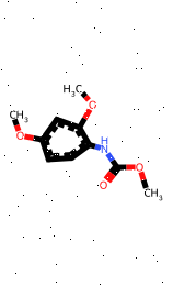 COC(=O)Nc1ccc(OC)cc1OC